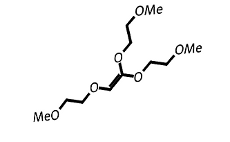 COCCOC=C(OCCOC)OCCOC